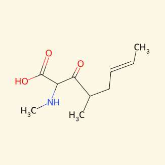 CC=CCC(C)C(=O)C(NC)C(=O)O